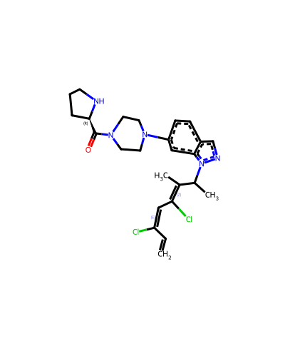 C=C/C(Cl)=C\C(Cl)=C(/C)C(C)n1ncc2ccc(N3CCN(C(=O)[C@H]4CCCN4)CC3)cc21